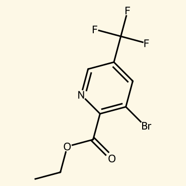 CCOC(=O)c1ncc(C(F)(F)F)cc1Br